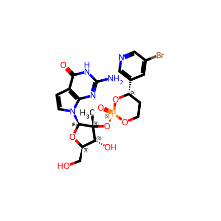 C[C@@]1(O[P@@]2(=O)OCC[C@@H](c3cncc(Br)c3)O2)[C@H](O)[C@@H](CO)O[C@H]1n1ccc2c(=O)[nH]c(N)nc21